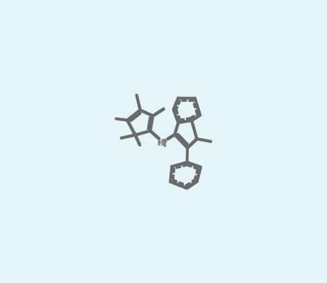 CC1=C(C)C(C)(C)[C]([Hf][C]2=C(c3ccccc3)C(C)c3ccccc32)=C1C